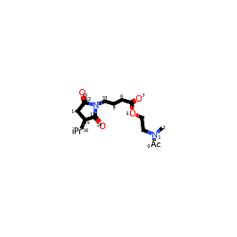 CC(=O)N(C)CCOC(=O)CCCN1C(=O)CC(C(C)C)C1=O